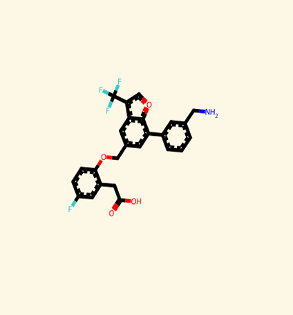 NCc1cccc(-c2cc(COc3ccc(F)cc3CC(=O)O)cc3c(C(F)(F)F)coc23)c1